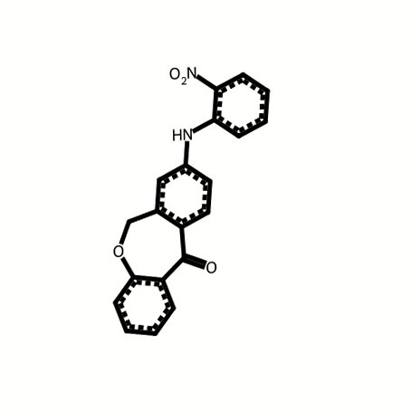 O=C1c2ccc(Nc3ccccc3[N+](=O)[O-])cc2COc2ccccc21